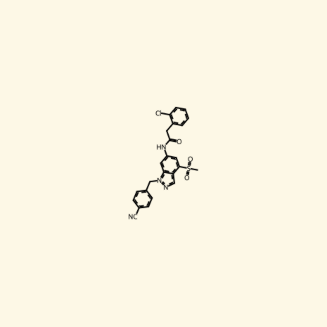 CS(=O)(=O)c1cc(NC(=O)Cc2ccccc2Cl)cc2c1cnn2Cc1ccc(C#N)cc1